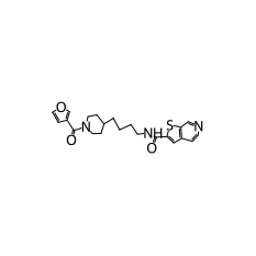 O=C(NCCCCC1CCN(C(=O)c2ccoc2)CC1)c1cc2ccncc2s1